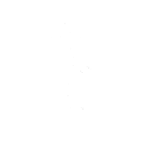 CN=S1(=O)CCC(n2cc(B3OC(C)(C)C(C)(C)O3)cn2)CC1